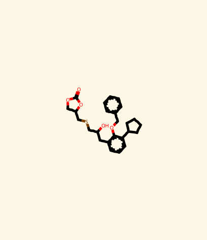 O=C1OCC(CSCC(O)Cc2cccc(C3CCCC3)c2OCc2ccccc2)O1